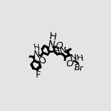 Cc1[nH]c(C=C2C(=O)Nc3ccc(C(=O)NC(C)c4ccc(F)cc4)cc32)c(C)c1NC(=O)CBr